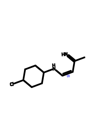 CC(=N)/C=C\NC1CCC(Cl)CC1